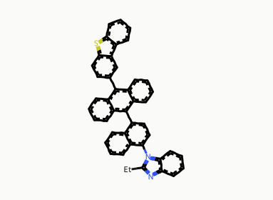 CCc1nc2ccccc2n1-c1ccc(-c2c3ccccc3c(-c3ccc4sc5ccccc5c4c3)c3ccccc23)c2ccccc12